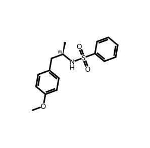 COc1ccc(C[C@@H](C)NS(=O)(=O)c2ccccc2)cc1